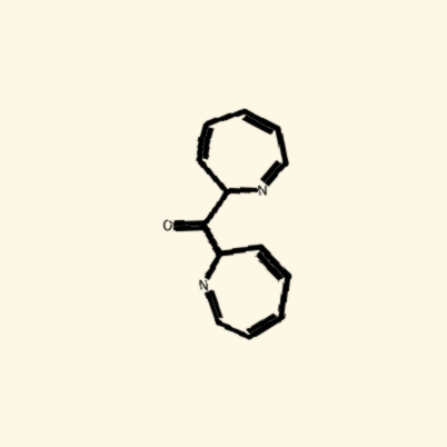 O=C(C1C=CC=CC=N1)C1C=CC=CC=N1